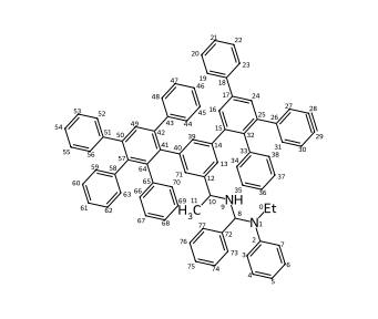 CCN(c1ccccc1)C(NC(C)c1cc(-c2cc(-c3ccccc3)cc(-c3cc#ccc3)c2-c2ccccc2)cc(-c2c(-c3ccccc3)cc(-c3ccccc3)c(-c3ccccc3)c2-c2ccccc2)c1)c1ccccc1